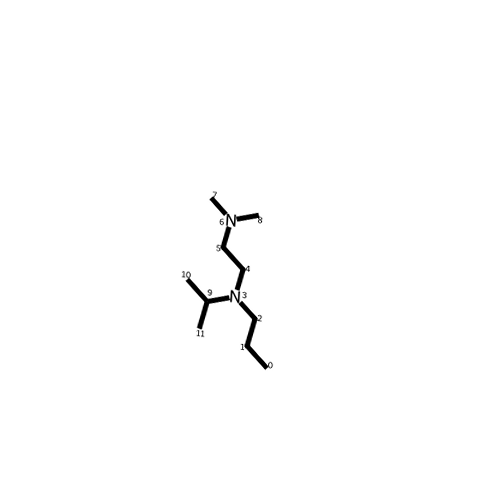 CCCN(CCN(C)C)C(C)C